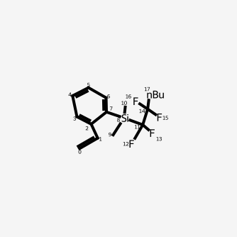 C=Cc1ccccc1[Si](C)(C)C(F)(F)C(F)(F)CCCC